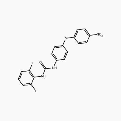 O=C(Nc1ccc(Sc2ccc([N+](=O)[O-])cc2)cc1)Nc1c(F)cccc1F